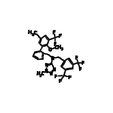 COc1c(-c2ccccc2CN(Cc2cc(C(F)(F)F)cc(C(F)(F)F)c2)c2nnn(C)n2)cc(C)cc1C(F)(F)F